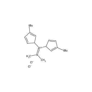 C[Si](C)=[Zr+2]([CH]1C=CC(C(C)(C)C)=C1)[CH]1C=CC(C(C)(C)C)=C1.[Cl-].[Cl-]